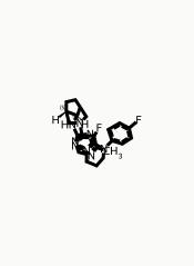 Cc1ncnc(N2CC3CC[C@@H](C2)[C@@H]3Nc2nc3n(n2)CCCN3c2ccc(F)cc2)c1F